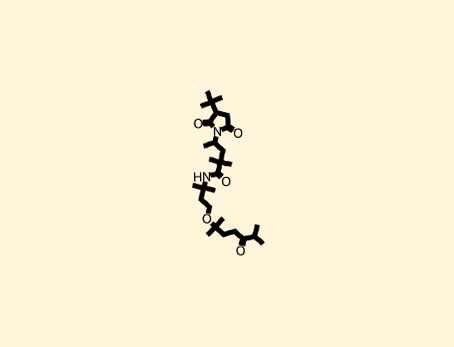 CC(C)C(=O)CCC(C)(C)OCCC(C)(C)NC(=O)C(C)(C)CC(C)N1C(=O)CC(C(C)(C)C)C1=O